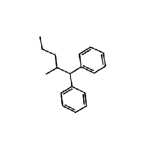 CCCC(C)C(c1ccccc1)c1ccccc1